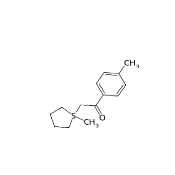 Cc1ccc(C(=O)CS2(C)CCCC2)cc1